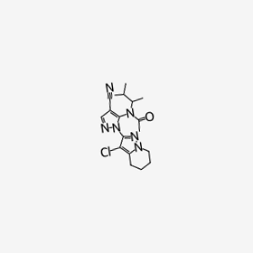 CC(=O)N(c1c(C#N)cnn1-c1nn2c(c1Cl)CCCC2)C(C)C(C)C